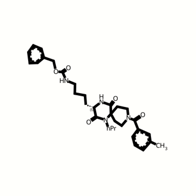 CCCN1C(=O)[C@H](CCCCNC(=O)OCc2ccccc2)NC(=O)C12CCN(C(=O)c1cccc(C)c1)CC2